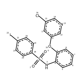 O=S(=O)(Nc1ccccc1Oc1cncc(Cl)c1)c1ccc(I)cc1